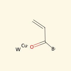 [B]C(=O)C=C.[Cu].[W]